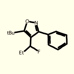 CCC(F)c1c(-c2ccccc2)noc1C(C)(C)C